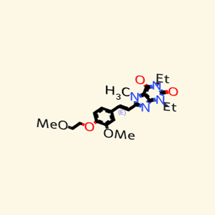 CCn1c(=O)c2c(nc(/C=C/c3ccc(OCCOC)c(OC)c3)n2C)n(CC)c1=O